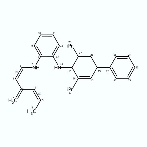 C=C(/C=C\C)/C=C\Nc1ccccc1NC1C(C(C)C)=CC(c2ccccc2)CC1C(C)C